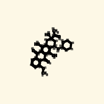 COc1cccc2c1C(=O)c1c(O)c3c(c(O)c1C2=O)C[C@@](O)(C(C)=O)C[C@@H]3O[C@H]1CCCCO1